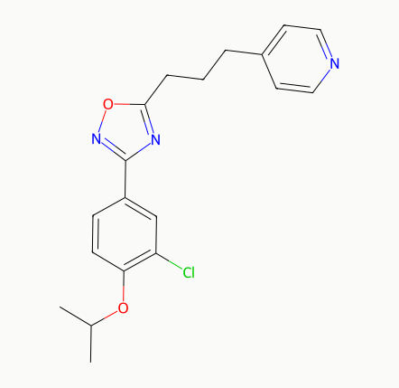 CC(C)Oc1ccc(-c2noc(CCCc3ccncc3)n2)cc1Cl